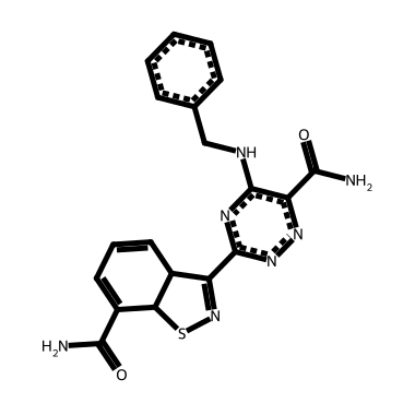 NC(=O)C1=CC=CC2C(c3nnc(C(N)=O)c(NCc4ccccc4)n3)=NSC12